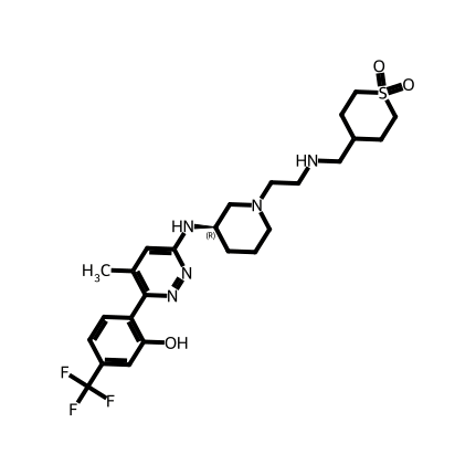 Cc1cc(N[C@@H]2CCCN(CCNCC3CCS(=O)(=O)CC3)C2)nnc1-c1ccc(C(F)(F)F)cc1O